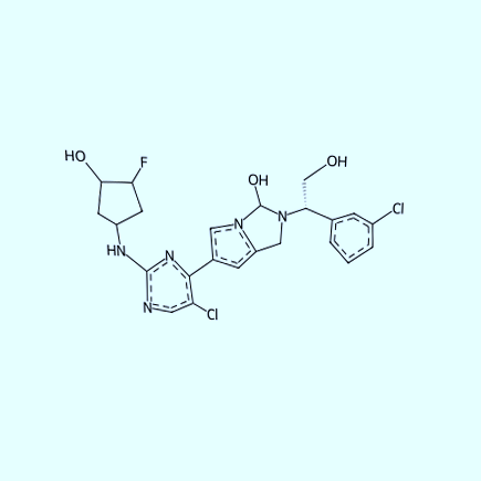 OC[C@H](c1cccc(Cl)c1)N1Cc2cc(-c3nc(NC4CC(O)C(F)C4)ncc3Cl)cn2C1O